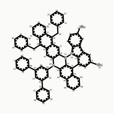 CC(C)(C)c1ccc2c(c1)c1cc(C(C)(C)C)cc3c1n2B1c2cc4c(Cc5ccccc5)c5ccccc5c(Cc5ccccc5)c4cc2N(c2cc(-c4ccccc4)cc(-c4ccccc4)c2)c2cc4ccccc4c-3c21